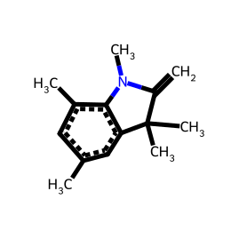 C=C1N(C)c2c(C)cc(C)cc2C1(C)C